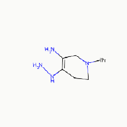 CC(C)N1CCC(NN)=C(N)C1